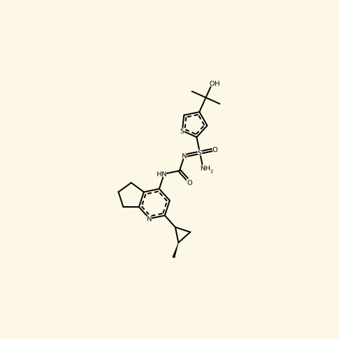 C[C@@H]1CC1c1cc(NC(=O)N=S(N)(=O)c2cc(C(C)(C)O)cs2)c2c(n1)CCC2